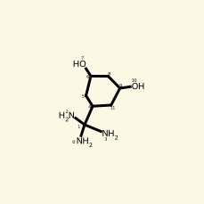 NC(N)(N)C1CC(O)CC(O)C1